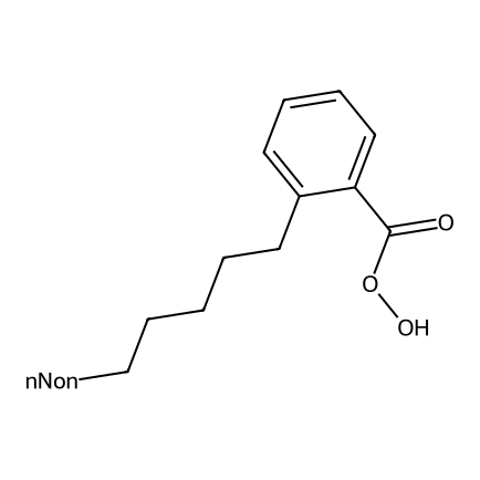 CCCCCCCCCCCCCCc1ccccc1C(=O)OO